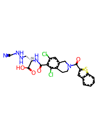 N#CNNC[C@H](NC(=O)c1c(Cl)cc2c(c1Cl)CCN(C(=O)c1cc3ccccc3s1)C2)C(=O)O